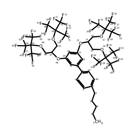 CCCCCc1ccc(-c2cc(OC(COC(C(F)(F)F)(C(F)(F)F)C(F)(F)F)COC(C(F)(F)F)(C(F)(F)F)C(F)(F)F)cc(OC(COC(C(F)(F)F)(C(F)(F)F)C(F)(F)F)COC(C(F)(F)F)(C(F)(F)F)C(F)(F)F)c2)cc1